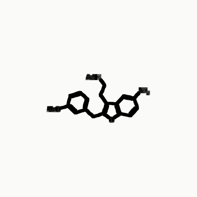 COc1cccc(Cc2oc3ccc(N)cc3c2CCNC(C)=O)c1